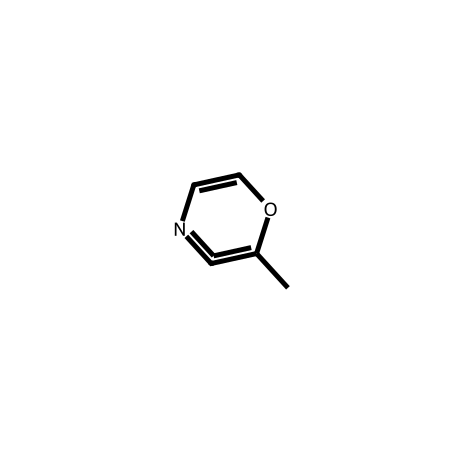 CC1=C=NC=CO1